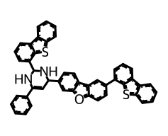 C1=C(c2ccccc2)NC(c2cccc3c2sc2ccccc23)NC1c1ccc2c(c1)oc1ccc(-c3cccc4c3sc3ccccc34)cc12